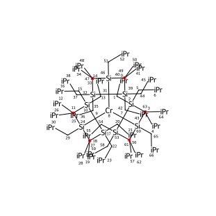 CC(C)C[Si](CC(C)C)(CC(C)C)[C]([Cr]([C]([Si](CC(C)C)(CC(C)C)CC(C)C)([Si](CC(C)C)(CC(C)C)CC(C)C)[Si](CC(C)C)(CC(C)C)CC(C)C)[C]([Si](CC(C)C)(CC(C)C)CC(C)C)([Si](CC(C)C)(CC(C)C)CC(C)C)[Si](CC(C)C)(CC(C)C)CC(C)C)([Si](CC(C)C)(CC(C)C)CC(C)C)[Si](CC(C)C)(CC(C)C)CC(C)C